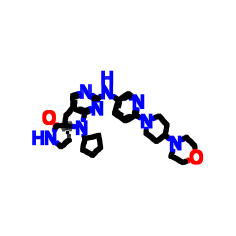 O=C1NCC[C@@]12Cc1cnc(Nc3ccc(N4CCC(N5CCOCC5)CC4)nc3)nc1N2C1CCCC1